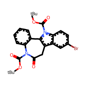 CC(C)(C)OC(=O)N1C(=O)Cc2c(n(C(=O)OC(C)(C)C)c3ccc(Br)cc23)-c2ccccc21